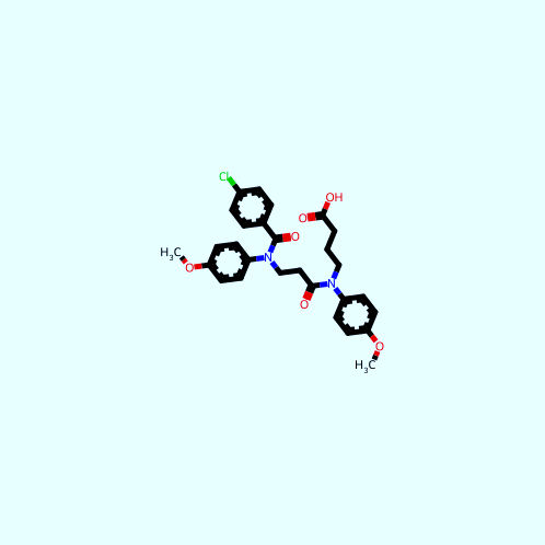 COc1ccc(N(CCCC(=O)O)C(=O)CCN(C(=O)c2ccc(Cl)cc2)c2ccc(OC)cc2)cc1